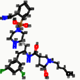 CCCCN1CC(C(=O)NC(Cc2cc(F)cc(F)c2)C[C@H]2CN(S(=O)(=O)c3ccccc3C#N)CCN2)CC1=O